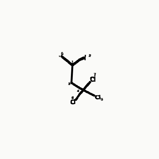 [CH2]C(I)CC(Cl)(Cl)Cl